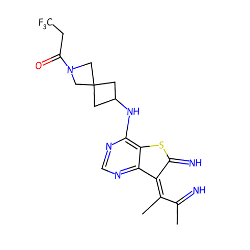 CC(=N)/C(C)=C1\C(=N)Sc2c(NC3CC4(C3)CN(C(=O)CC(F)(F)F)C4)ncnc21